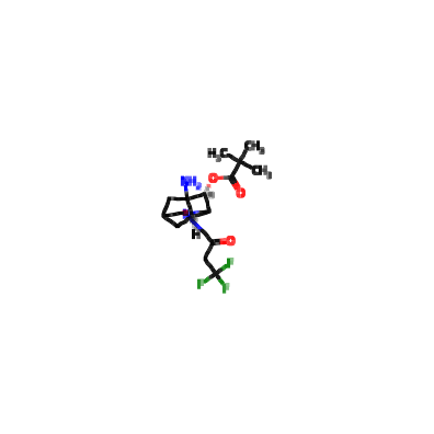 CC(C)(C)C(=O)O[C@@H]1C2[C@H]3CC(CN2C(=O)CC(F)(F)F)CC31N